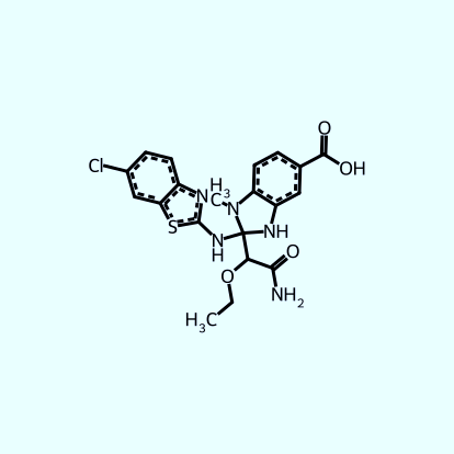 CCOC(C(N)=O)C1(Nc2nc3ccc(Cl)cc3s2)Nc2cc(C(=O)O)ccc2N1C